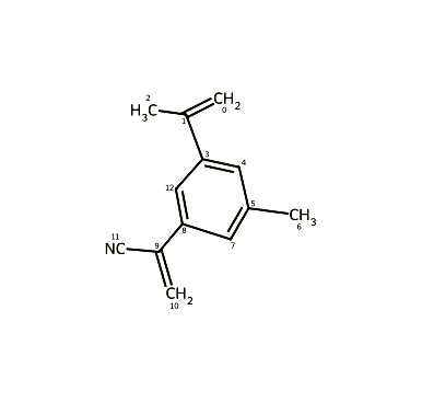 C=C(C)c1cc(C)cc(C(=C)C#N)c1